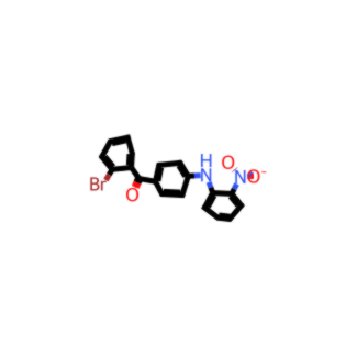 O=C(c1ccc(Nc2ccccc2[N+](=O)[O-])cc1)c1ccccc1Br